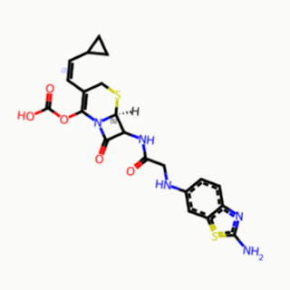 Nc1nc2ccc(NCC(=O)NC3C(=O)N4C(OC(=O)O)=C(/C=C\C5CC5)CS[C@@H]34)cc2s1